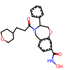 O=C(NO)c1ccc2c(c1)OCC(c1ccccc1)N(C(=O)CCC1CCOCC1)C2